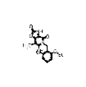 CCOc1cccc(Cl)c1Cn1c(C)c(C)c2oc(=O)[nH]c2c1=O